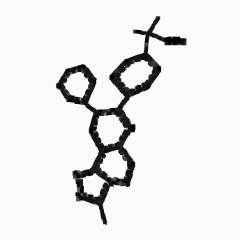 CC(=O)NC(C)(C)c1ccc(-c2nc3ccn4c(C)nnc4c3cc2-c2ccccc2)cc1